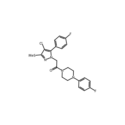 CSc1nn(CC(=O)N2CCN(c3ccc(F)cc3)CC2)c(-c2ccc(F)cc2)c1Cl